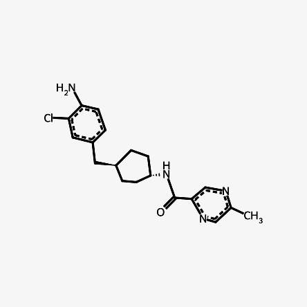 Cc1cnc(C(=O)N[C@H]2CC[C@H](Cc3ccc(N)c(Cl)c3)CC2)cn1